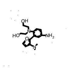 CN(C)c1ccoc1-c1cc(N)ccc1N(CCO)CCO